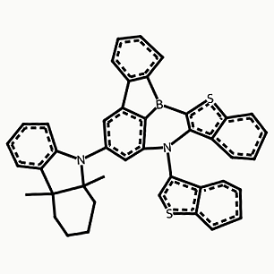 CC12CCCCC1(C)N(c1cc3c4c(c1)N(c1csc5ccccc15)c1c(sc5ccccc15)B4c1ccccc1-3)c1ccccc12